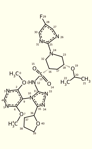 COc1ncnc(OC)c1-n1c(NS(=O)(=O)[C@H]2C[C@@H](OC(C)C)CN(c3ncc(F)cn3)C2)nnc1C1CCCO1